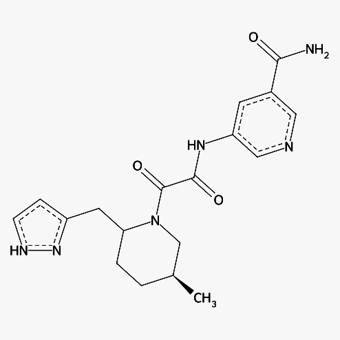 C[C@H]1CCC(Cc2cc[nH]n2)N(C(=O)C(=O)Nc2cncc(C(N)=O)c2)C1